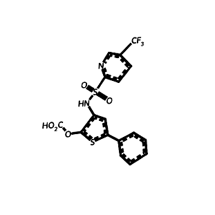 O=C(O)Oc1sc(-c2ccccc2)cc1NS(=O)(=O)c1ccc(C(F)(F)F)cn1